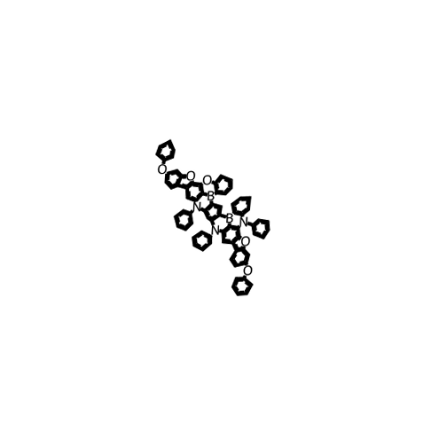 c1ccc(Oc2ccc3c(c2)oc2c4c5c(cc23)N(c2ccccc2)c2cc3c(cc2B5c2ccccc2O4)B2c4ccccc4N(c4ccccc4)c4c2c(cc2c4oc4cc(Oc5ccccc5)ccc42)N3c2ccccc2)cc1